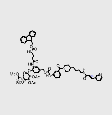 COC(=O)[C@H]1O[C@@H](Oc2ccc(COC(=O)Nc3cccc(C(=O)N4CCC(CCCCNC(=O)/C=C/c5cccnc5)CC4)c3)cc2NC(=O)CCNC(=O)OCC2c3ccccc3-c3ccccc32)[C@H](OC(C)=O)[C@@H](OC(C)=O)[C@@H]1OC(C)=O